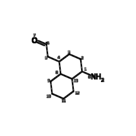 NC1CCC(C[C]=O)C2CCCCC12